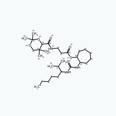 CCCCCC(NC(=O)NC1CCCCCC1OC(=O)CCNC(=O)C1OC(C)(C)OCC1(C)C)C(C)C